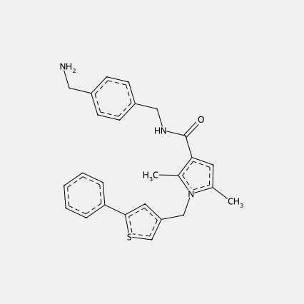 Cc1cc(C(=O)NCc2ccc(CN)cc2)c(C)n1Cc1csc(-c2ccccc2)c1